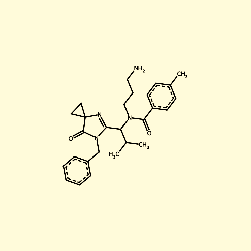 Cc1ccc(C(=O)N(CCCN)C(C2=NC3(CC3)C(=O)N2Cc2ccccc2)C(C)C)cc1